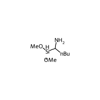 CCCCC(N)[SiH](OC)OC